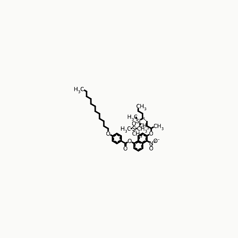 CCCCCCCCCCCCOc1ccc(C(=O)Oc2cccc3c([N+](=O)[O-])c(OC(C)CC[C@@H](CCC)[Si](C)(C)O[Si](C)(C)C)ccc23)cc1